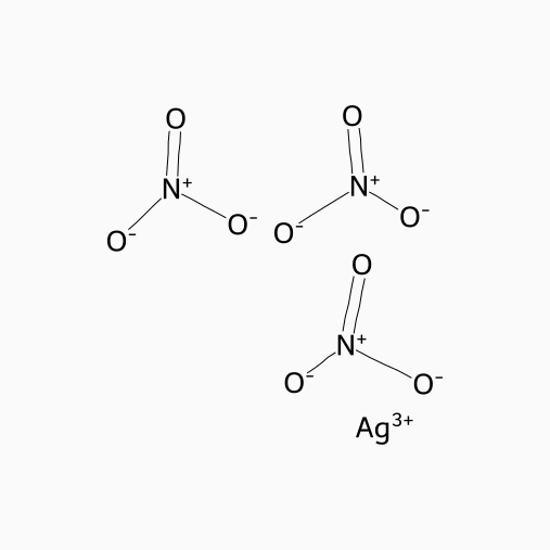 O=[N+]([O-])[O-].O=[N+]([O-])[O-].O=[N+]([O-])[O-].[Ag+3]